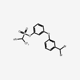 CCCC(C(F)(F)F)S(=O)(=O)Oc1cccc(Oc2cccc(C(Br)Br)c2)c1